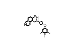 Cc1cc(O[C@H]2C[C@H](NCc3c(F)ccc4cnccc34)C2)cc(F)c1F